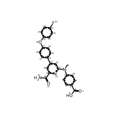 CN(c1ccc(C(=O)O)cc1)c1cc(-c2ccc(Oc3ccc(F)cc3)cc2)cc(C(N)=O)n1